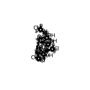 Cc1nc(C2OC(CO)C(O)C(n3cc(-c4cc(F)c(Cl)c(F)c4)nn3)C2OCC(=O)N(C)CCCCN(C)C(=O)COC2C(c3nc(C)nn3-c3cc(Cl)ccc3Cl)OC(CO)C(O)C2n2cc(-c3cc(F)c(Cl)c(F)c3)nn2)n(-c2cc(Cl)ccc2Cl)n1